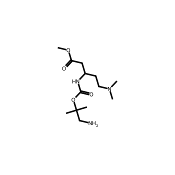 COC(=O)CC(CCN(C)C)NC(=O)OC(C)(C)CN